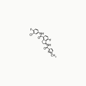 Cn1ccc(C(=O)N[C@H]2CCc3c(C(=O)Nc4ccc(F)c(Cl)c4)ccc(F)c32)n1